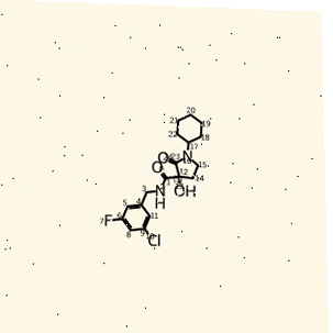 O=C(NCc1cc(F)cc(Cl)c1)[C@@]1(O)CCN(C2CCCCC2)C1=O